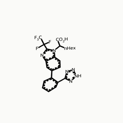 CCCCCCC(C(=O)O)n1c(C(F)(F)C(F)(F)F)nc2cc(-c3ccccc3-c3nn[nH]n3)ccc21